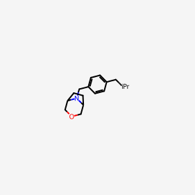 CC(C)Cc1ccc(CN2C3CCC2COC3)cc1